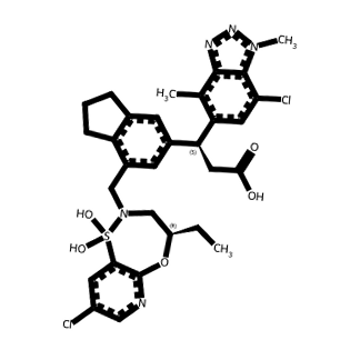 CC[C@@H]1CN(Cc2cc([C@H](CC(=O)O)c3cc(Cl)c4c(nnn4C)c3C)cc3c2CCC3)S(O)(O)c2cc(Cl)cnc2O1